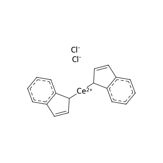 C1=C[CH]([Ce+2][CH]2C=Cc3ccccc32)c2ccccc21.[Cl-].[Cl-]